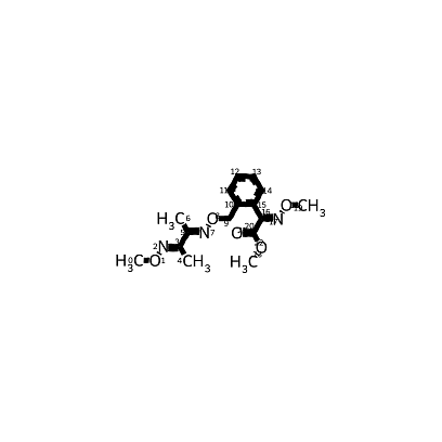 CO/N=C(C)/C(C)=N/OCc1ccccc1/C(=N\OC)C(=O)OC